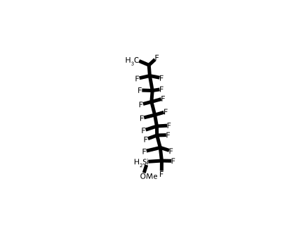 CO[SiH2]C(F)(F)C(F)(F)C(F)(F)C(F)(F)C(F)(F)C(F)(F)C(F)(F)C(F)(F)C(C)F